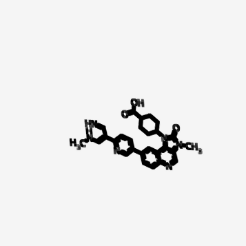 CN/C=C(\C=N)c1ccc(-c2ccc3ncc4c(c3c2)n(C2CCC(C(=O)O)CC2)c(=O)n4C)cn1